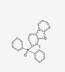 O=P(c1ccccc1)(c1ccccc1)c1ccc2c(oc3ccccc32)c1I